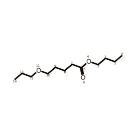 CCCCOC(=O)CCCCOCCC